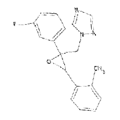 Cc1ccccc1C1OC1(Cn1cncn1)c1cccc(F)c1